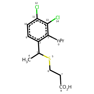 CCCc1c(C(C)SCCC(=O)O)ccc(Cl)c1Cl